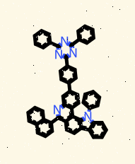 c1ccc(-c2nc(-c3ccccc3)nc(-c3ccc(-c4ccc5c(c4)nc(-c4cccc6ccccc46)c4ccc6c7ccccc7n(-c7ccccc7)c6c45)cc3)n2)cc1